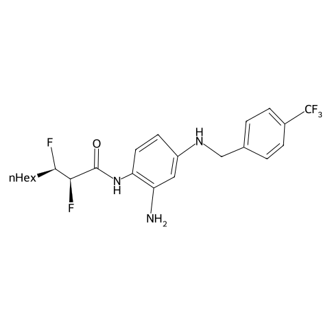 CCCCCC[C@@H](F)[C@H](F)C(=O)Nc1ccc(NCc2ccc(C(F)(F)F)cc2)cc1N